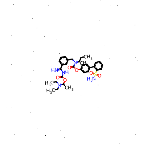 CCC(C)N(Cc1cccc(C(=N)NC(=O)OC(C)N(CC)CC)c1)C(=O)Oc1ccc(-c2ccccc2S(N)(=O)=O)cc1